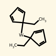 CC[C]1([W][C]2(CC)C=CC=C2)C=CC=C1